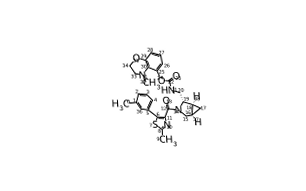 Cc1cccc(-c2sc(C)nc2C(=O)N2C[C@@H]3C[C@@H]3[C@H]2CNC(=O)Oc2cccc3c2N(C)CCO3)c1